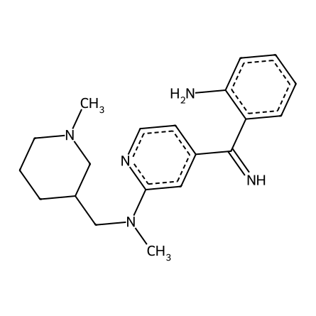 CN1CCCC(CN(C)c2cc(C(=N)c3ccccc3N)ccn2)C1